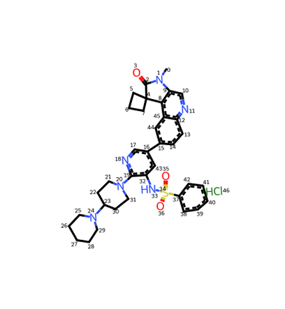 CN1C(=O)C2(CCC2)c2c1cnc1ccc(-c3cnc(N4CCC(N5CCCCC5)CC4)c(NS(=O)(=O)c4ccccc4)c3)cc21.Cl